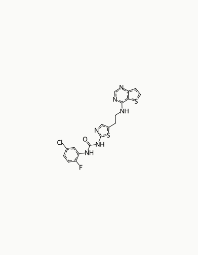 O=C(Nc1ncc(CCNc2ncnc3ccsc23)s1)Nc1cc(Cl)ccc1F